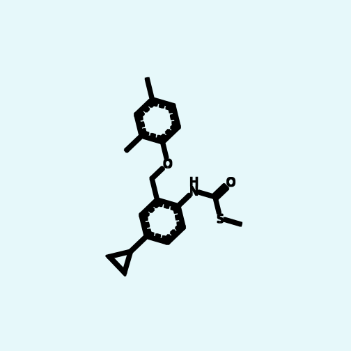 CSC(=O)Nc1ccc(C2CC2)cc1COc1ccc(C)cc1C